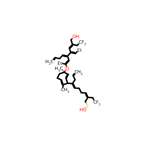 C=CC/C=C(\C=C(/CC)O[C@@]1(C)/C=C/C(/C(=C/CC/C=C(\CSO)CC(F)(F)F)CC=C)/C(C)=C/CC1)C(=CCC)/C=C(/CO)CC(F)(F)F